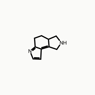 C1=CC2=C3CNCC3CCC2=N1